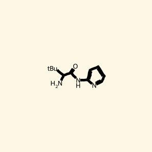 CC(C)(C)C(N)C(=O)Nc1ccccn1